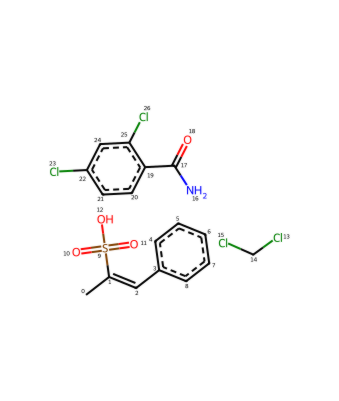 CC(=Cc1ccccc1)S(=O)(=O)O.ClCCl.NC(=O)c1ccc(Cl)cc1Cl